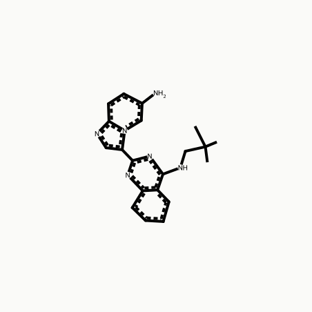 CC(C)(C)CNc1nc(-c2cnc3ccc(N)cn23)nc2ccccc12